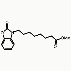 COC(=O)CCCCCCCn1c(=O)oc2ccccc21